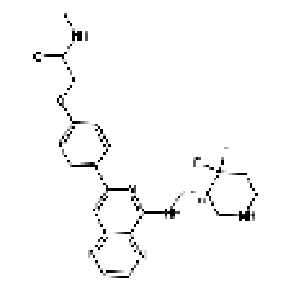 CNC(=O)COc1ccc(-c2cc3nccnc3c(NC[C@H]3CNCCC3(F)F)n2)cc1